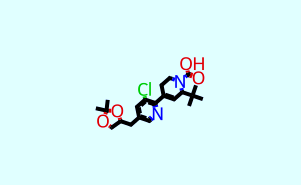 CC1(C)OCC(Cc2cnc(C3=CC(C(C)(C)C)N(C(=O)O)CC3)c(Cl)c2)O1